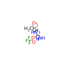 CC1(C)COCC[C@@H]1CNc1c[nH]nc1OC(=O)C(F)(F)F